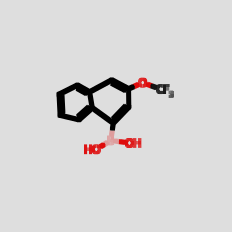 OB(O)c1cc(OC(F)(F)F)cc2ccccc12